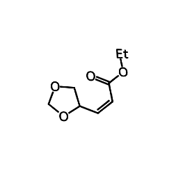 CCOC(=O)/C=C\C1COCO1